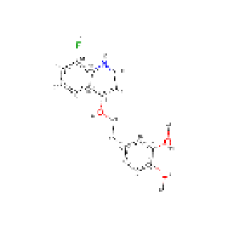 COc1ccc(CCOc2ccnc3c(F)cccc23)cc1OC